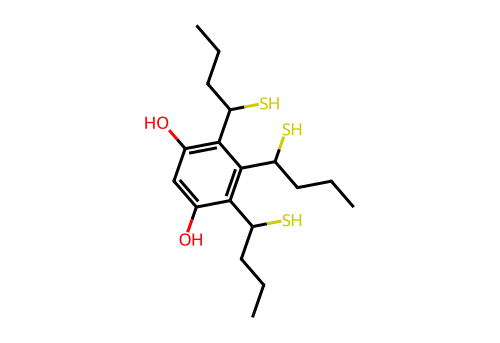 CCCC(S)c1c(O)cc(O)c(C(S)CCC)c1C(S)CCC